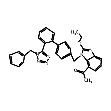 CCOc1nc2cccc(C(C)=O)c2n1Cc1ccc(-c2ccccc2-c2nnnn2Cc2ccccc2)cc1